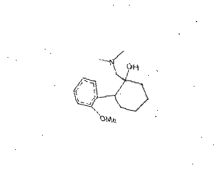 COc1ccccc1C1CCCCC1(O)CN(C)C